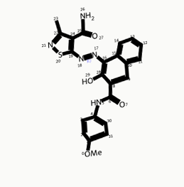 COc1ccc(NC(=O)c2cc3ccccc3c(/N=N/c3snc(C)c3C(N)=O)c2O)cc1